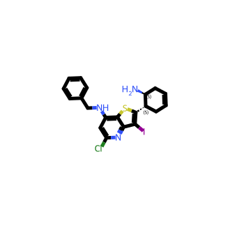 N[C@H]1CC=CC[C@@H]1c1sc2c(NCc3ccccc3)cc(Cl)nc2c1I